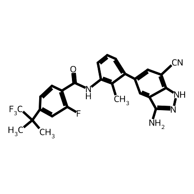 Cc1c(NC(=O)c2ccc(C(C)(C)C(F)(F)F)cc2F)cccc1-c1cc(C#N)c2[nH]nc(N)c2c1